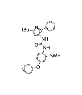 CSc1cc(Oc2ccncc2)ccc1NC(=O)Nc1cc(C(C)(C)C)nn1-c1ccccc1